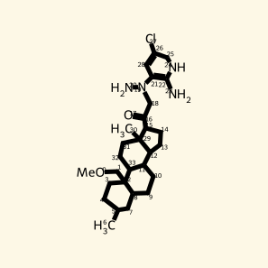 COCC12CCC(C)CC1CCC1C3CCC(C(=O)CN(N)C4=C(N)NCC(Cl)=C4)C3(C)CCC12